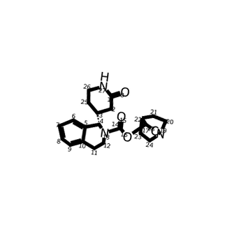 O=C1CC([C@H]2c3ccccc3CCN2C(=O)OC2CN3CCC2CC3)CCN1